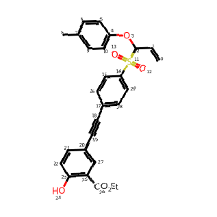 C=CC(Oc1ccc(C)cc1)S(=O)(=O)c1ccc(C#Cc2ccc(O)c(C(=O)OCC)c2)cc1